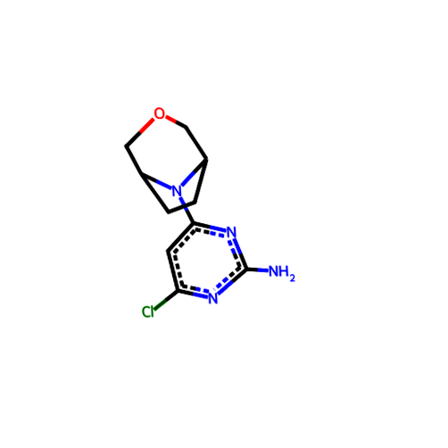 Nc1nc(Cl)cc(N2C3CCC2COC3)n1